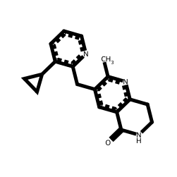 Cc1nc2c(cc1Cc1ncccc1C1CC1)C(=O)NCC2